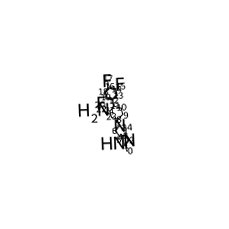 Cc1nc2c([nH]1)CN([C@H]1CCC(c3cc(F)c(F)cc3F)[C@@H](N)C1)C2